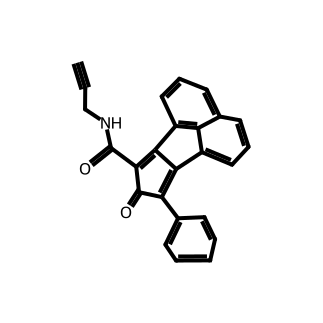 C#CCNC(=O)C1=C2C(=C(c3ccccc3)C1=O)c1cccc3cccc2c13